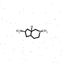 CN1CCC2C[C@@H](N)C[C@@H]2C1